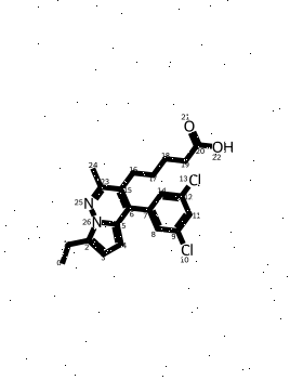 CCc1ccc2c(-c3cc(Cl)cc(Cl)c3)c(CCCCC(=O)O)c(C)nn12